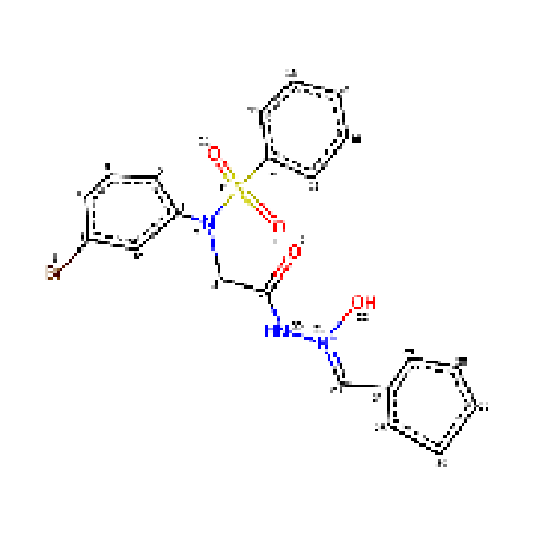 O=C(CN(c1cccc(Br)c1)S(=O)(=O)c1ccccc1)N[N+](O)=Cc1ccccc1